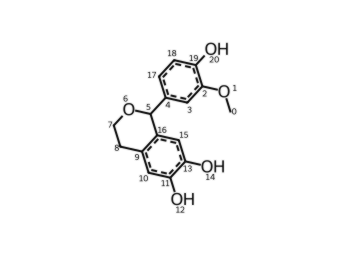 COc1cc(C2OCCc3cc(O)c(O)cc32)ccc1O